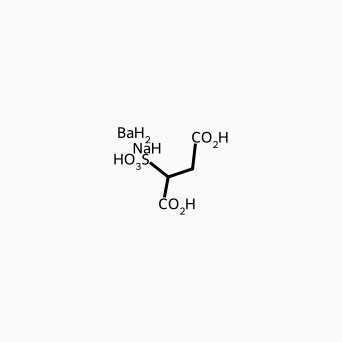 O=C(O)CC(C(=O)O)S(=O)(=O)O.[BaH2].[NaH]